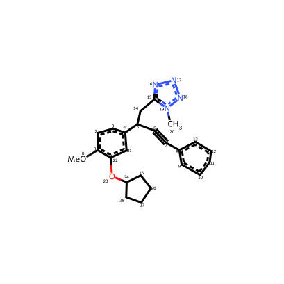 COc1ccc(C(C#Cc2ccccc2)Cc2nnnn2C)cc1OC1CCCC1